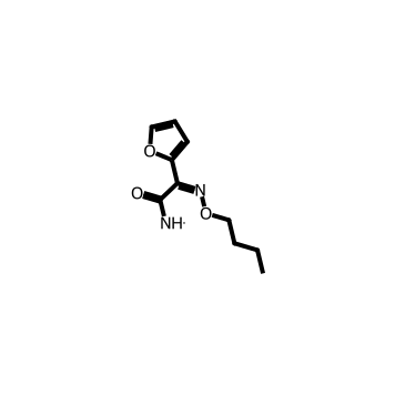 CCCCON=C(C([NH])=O)c1ccco1